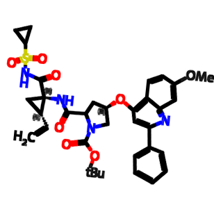 C=C[C@@H]1C[C@]1(NC(=O)C1C[C@@H](Oc2cc(-c3ccccc3)nc3cc(OC)ccc23)CN1C(=O)OC(C)(C)C)C(=O)NS(=O)(=O)C1CC1